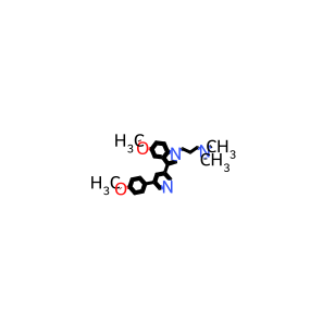 COc1ccc(-c2cncc(-c3cn(CCCN(C)C)c4ccc(OC)cc34)c2)cc1